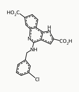 O=C(O)c1ccc2c(c1)nc(NCc1cccc(Cl)c1)c1cc(C(=O)O)[nH]c12